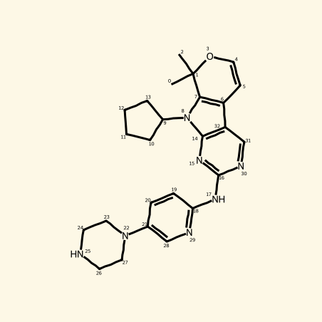 CC1(C)OC=Cc2c1n(C1CCCC1)c1nc(Nc3ccc(N4CCNCC4)cn3)ncc21